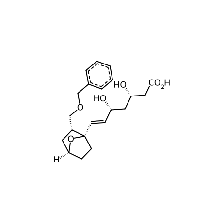 O=C(O)C[C@@H](O)C[C@@H](O)/C=C/[C@@]12CC[C@@H](C[C@@H]1COCc1ccccc1)O2